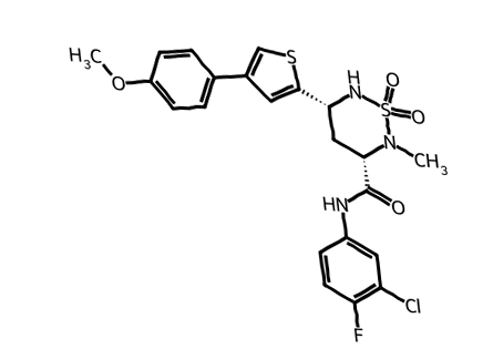 COc1ccc(-c2csc([C@H]3C[C@@H](C(=O)Nc4ccc(F)c(Cl)c4)N(C)S(=O)(=O)N3)c2)cc1